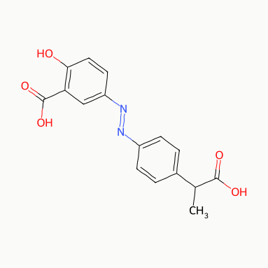 CC(C(=O)O)c1ccc(N=Nc2ccc(O)c(C(=O)O)c2)cc1